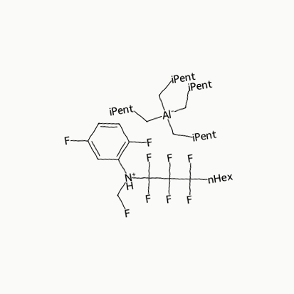 CCCC(C)[CH2][Al-]([CH2]C(C)CCC)([CH2]C(C)CCC)[CH2]C(C)CCC.CCCCCCC(F)(F)C(F)(F)C(F)(F)[NH+](CF)c1cc(F)ccc1F